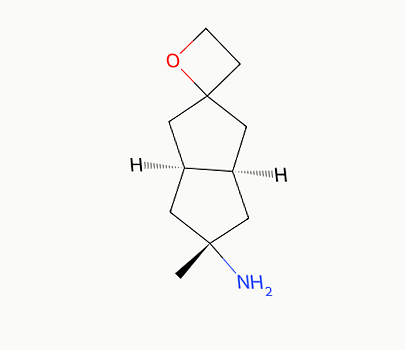 C[C@@]1(N)C[C@H]2CC3(CCO3)C[C@H]2C1